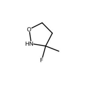 CC1(F)CCON1